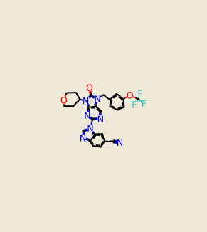 N#Cc1ccc2ncn(-c3ncc4c(n3)n(C3CCOCC3)c(=O)n4Cc3cccc(OC(F)(F)F)c3)c2c1